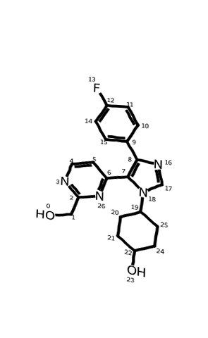 OCc1nccc(-c2c(-c3ccc(F)cc3)ncn2C2CCC(O)CC2)n1